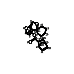 O=C(OC1C2CC3C(O2)C1OC31CCCCC1)C1CC2C=CC1C2